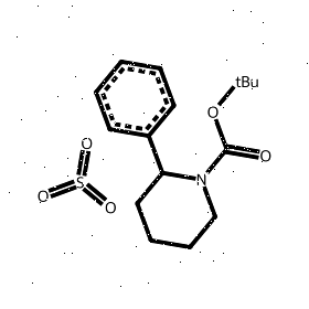 CC(C)(C)OC(=O)N1CCCCC1c1ccccc1.O=S(=O)=O